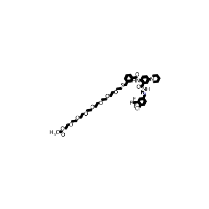 CC(=O)OCCOCCOCCOCCOCCOCCOCCOCCSCc1cccc(C(=O)Nc2ccc(N3CCCCC3)cc2C(=O)N/N=C/c2ccc(Cl)c(C(F)(F)F)c2)c1